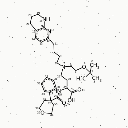 CC(C)(C)OCCN(CCCCc1ccc2c(n1)NCCC2)CCC(NC(=O)C1(c2ccccc2)CCOCC1)C(=O)O